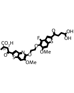 COc1cc2sc(C(=O)C[C@H](C)C(=O)O)cc2nc1OCCOc1c(OC)cc2sc(C(=O)CCC(O)O)cc2c1F